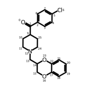 O=C(c1ccc(Cl)cc1)C1CCN(CC2COc3ccccc3O2)CC1